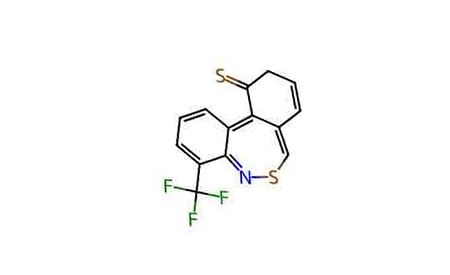 FC(F)(F)c1cccc2c1=NSC=C1C=CCC(=S)C=21